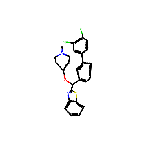 CN1CCC(OC(c2cccc(-c3ccc(Cl)c(Cl)c3)c2)c2nc3ccccc3s2)CC1